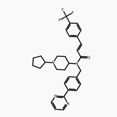 O=C(/C=C/c1ccc(C(F)(F)F)cc1)N(Cc1ccc(-c2ncccn2)cc1)C1CCN(C2CCCC2)CC1